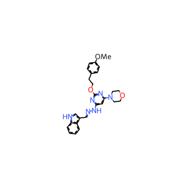 COc1ccc(CCOc2nc(NN=Cc3c[nH]c4ccccc34)cc(N3CCOCC3)n2)cc1